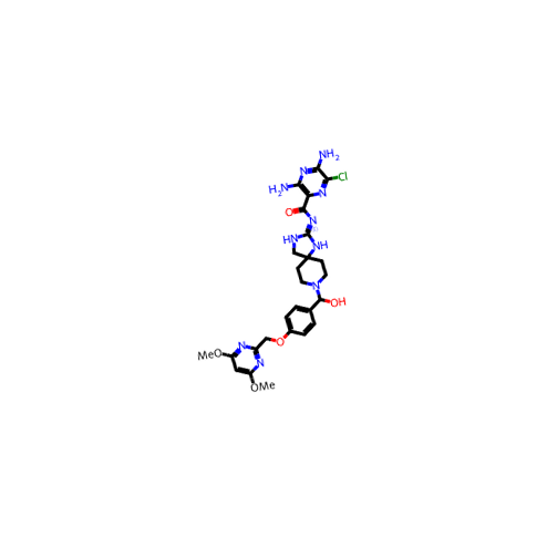 COc1cc(OC)nc(COc2ccc(C(O)N3CCC4(CC3)CN/C(=N\C(=O)c3nc(Cl)c(N)nc3N)N4)cc2)n1